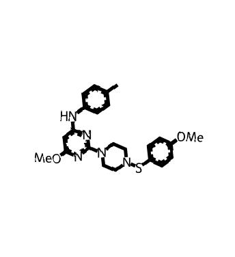 COc1ccc(SN2CCN(c3nc(Nc4ccc(C)cc4)cc(OC)n3)CC2)cc1